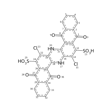 O=c1c2ccccc2c(=O)c2c1c(S(=O)(=O)O)c(Cl)c1[nH]c3c([nH]c12)c(Cl)c(S(=O)(=O)O)c1c(=O)c2ccccc2c(=O)c13